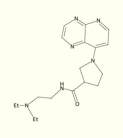 CCN(CC)CCNC(=O)C1CCN(c2ccnc3nccnc23)C1